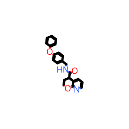 O=C(NCc1ccc(Oc2ccccc2)cc1)C1CCOc2ncccc21